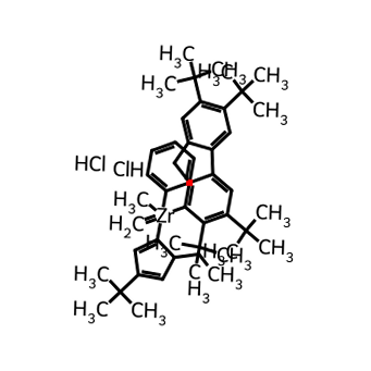 Cl.Cl.[CH2]=[Zr]([CH3])([C]1=CC(C(C)(C)C)=CC1CC)([c]1ccccc1)[c]1c2c(cc(C(C)(C)C)c1C(C)(C)C)-c1cc(C(C)(C)C)c(C(C)(C)C)cc1C2